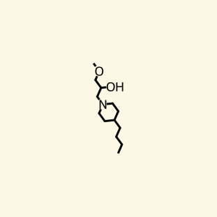 CCCCC1CCN(CC(O)COC)CC1